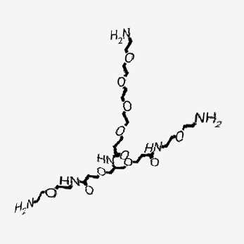 NCCOCCNC(=O)CCOCC(COCCC(=O)NCCOCCN)NC(=O)CCOCCOCCOCCOCCN